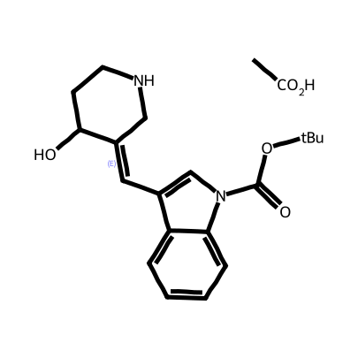 CC(=O)O.CC(C)(C)OC(=O)n1cc(/C=C2\CNCCC2O)c2ccccc21